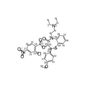 CCN(CC)CCN1C(=O)[C@H](OC(=O)c2ccc([N+](=O)[O-])cc2Cl)[C@H](c2ccc(OC)cc2)Sc2ccccc21